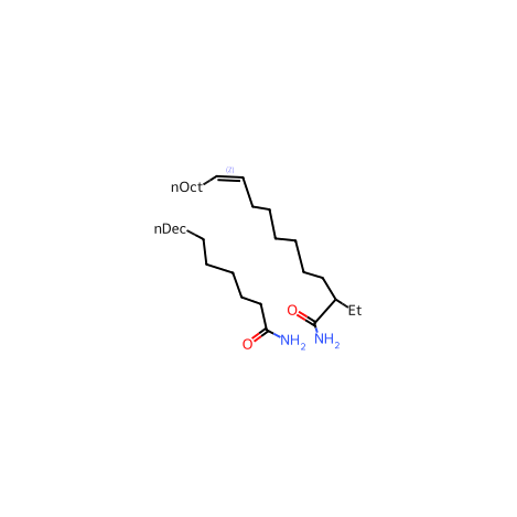 CCCCCCCC/C=C\CCCCCCC(CC)C(N)=O.CCCCCCCCCCCCCCCC(N)=O